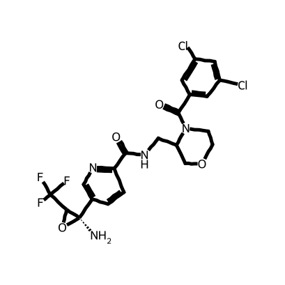 N[C@]1(c2ccc(C(=O)NCC3COCCN3C(=O)c3cc(Cl)cc(Cl)c3)nc2)OC1C(F)(F)F